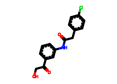 O=C(Cc1ccc(Cl)cc1)Nc1cccc(C(=O)CO)c1